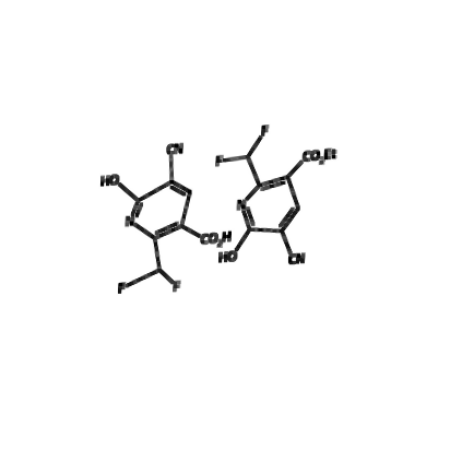 CCOC(=O)c1cc(C#N)c(O)nc1C(F)F.N#Cc1cc(C(=O)O)c(C(F)F)nc1O